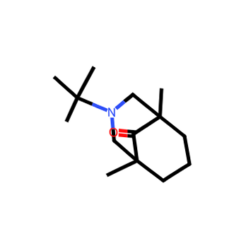 CC12CCCC(C)(CN(C(C)(C)C)C1)C2=O